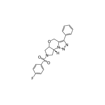 O=S(=O)(c1ccc(F)cc1)N1CC2OCc3c(-c4ccccc4)nnn3[C@@H]2C1